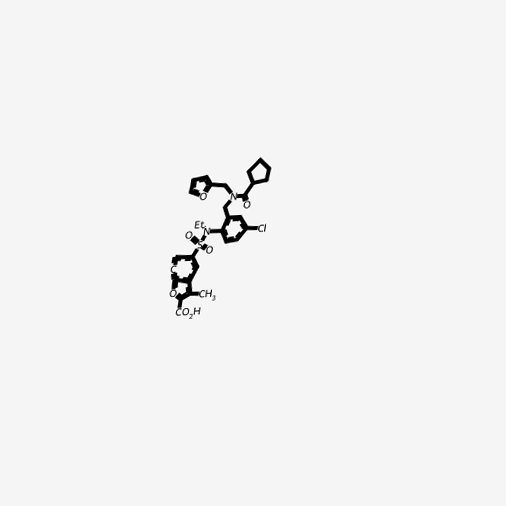 CCN(c1ccc(Cl)cc1CN(Cc1ccco1)C(=O)C1CCCC1)S(=O)(=O)c1ccc2oc(C(=O)O)c(C)c2c1